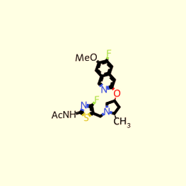 COc1cc2cnc(O[C@@H]3C[C@H](C)N(Cc4sc(NC(C)=O)nc4F)C3)cc2cc1F